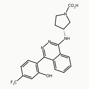 O=C(O)N1CC[C@@H](Nc2nnc(-c3ccc(C(F)(F)F)cc3O)c3ccccc23)C1